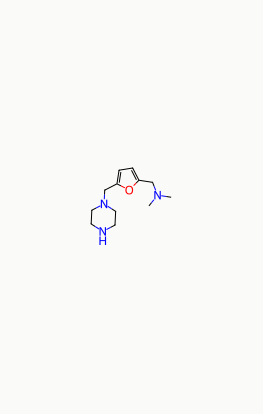 CN(C)Cc1ccc(CN2CCNCC2)o1